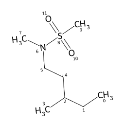 CCC(C)[CH]CN(C)S(C)(=O)=O